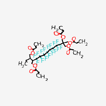 C=CC(=O)OCC(C=C)C(COC(=O)C=C)C(F)(F)C(F)(F)C(F)(F)C(F)(F)C(F)(F)C(F)(F)C(F)(F)C(F)(F)C(COC(=O)C=C)(COC(=O)C=C)COC(=O)C=C